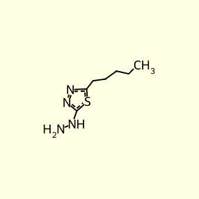 CCCCCc1nnc(NN)s1